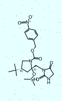 C[SiH](C)O[C@]1(CN2C(=O)CNC2=O)C[C@H](C(C)(C)C)CN1C(=O)OCc1ccc([N+](=O)[O-])cc1